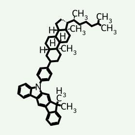 CC(C)CCC[C@@H](C)[C@H]1CC[C@H]2[C@@H]3CC[C@H]4CC(c5ccc(-n6c7ccccc7c7cc8c(cc76)C(C)(C)c6ccccc6-8)cc5)CC[C@]4(C)[C@H]3CC[C@]12C